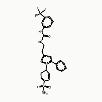 NS(=O)(=O)C1=CCC(n2nc(CCNC(=O)Nc3cccc(C(F)(F)F)c3)cc2-c2ccccc2)C=C1